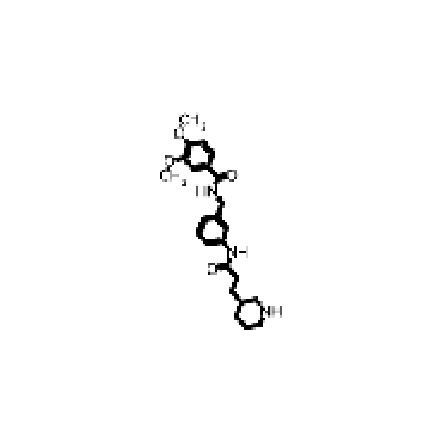 COc1ccc(C(=O)NCc2cccc(NC(=O)CCC3CCCNC3)c2)cc1OC